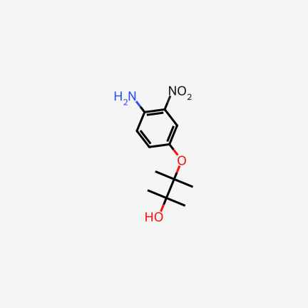 CC(C)(O)C(C)(C)Oc1ccc(N)c([N+](=O)[O-])c1